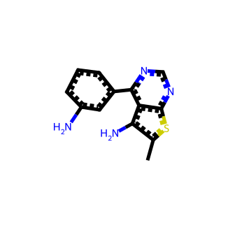 Cc1sc2ncnc(-c3cccc(N)c3)c2c1N